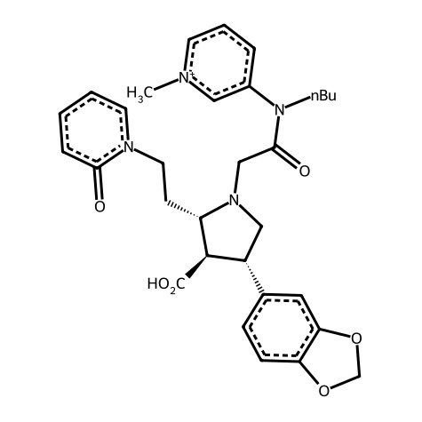 CCCCN(C(=O)CN1C[C@H](c2ccc3c(c2)OCO3)[C@@H](C(=O)O)[C@@H]1CCn1ccccc1=O)c1ccc[n+](C)c1